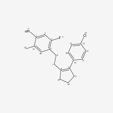 CCCc1cc(F)c(CCC2=C(c3ccc(Cl)cc3)CCC2)cc1C